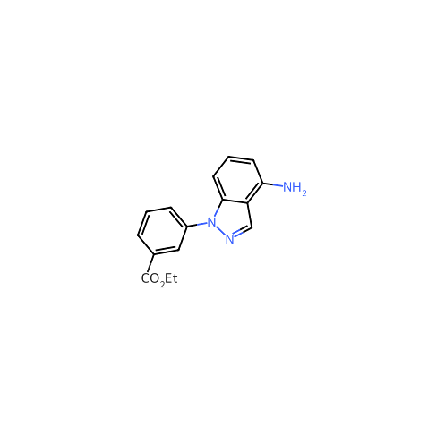 CCOC(=O)c1cccc(-n2ncc3c(N)cccc32)c1